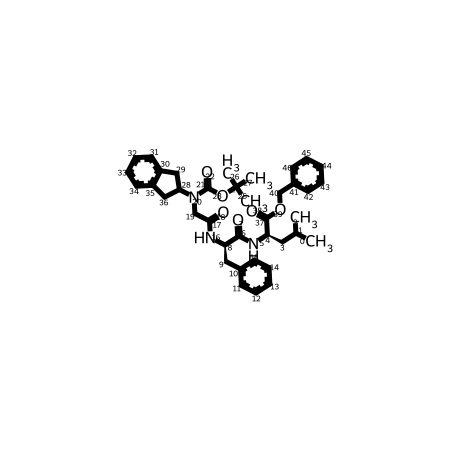 CC(C)C[C@@H](NC(=O)[C@@H](Cc1ccccc1)NC(=O)CN(C(=O)OC(C)(C)C)C1Cc2ccccc2C1)C(=O)OCc1ccccc1